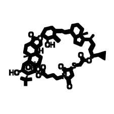 C=C1/C(=C\C=C2/CCC[C@@]3(C)C2CCC3[C@@H](C)/C=C/C(OC(=O)CSC2CC(=O)N(CCCC(=O)O[C@@H]3[C@H](C(C)(C)C)[C@@H](O)C[C@]4(O)[C@]35O[C@H]5C[C@H]3C5=C(CC[C@@]34C)C(=O)OC5)C2=O)C2CC2)CCC[C@@H]1O